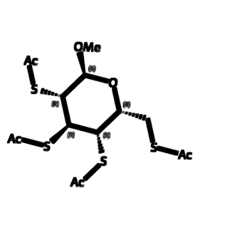 CO[C@H]1O[C@H](CSC(C)=O)[C@H](SC(C)=O)[C@@H](SC(C)=O)[C@@H]1SC(C)=O